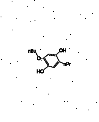 CCCCOc1cc(O)c(CCC)cc1O